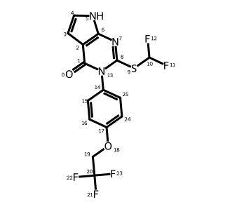 O=c1c2cc[nH]c2nc(SC(F)F)n1-c1ccc(OCC(F)(F)F)cc1